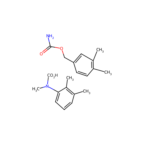 Cc1ccc(COC(N)=O)cc1C.Cc1cccc(N(C)C(=O)O)c1C